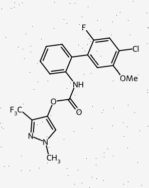 COc1cc(-c2ccccc2NC(=O)Oc2cn(C)nc2C(F)(F)F)c(F)cc1Cl